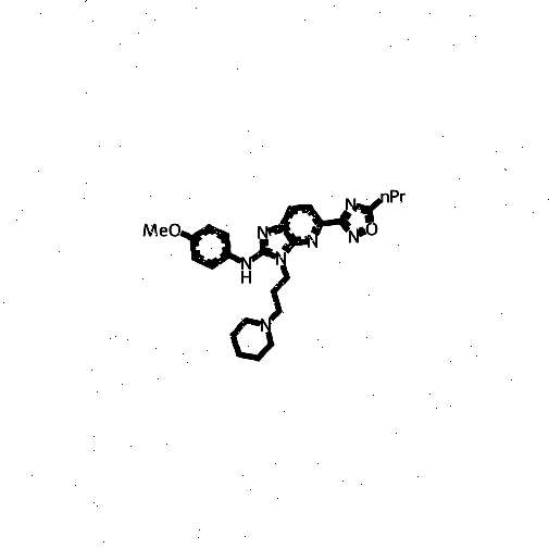 CCCc1nc(-c2ccc3nc(Nc4ccc(OC)cc4)n(CCCN4CCCCC4)c3n2)no1